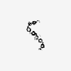 N#Cc1ccc(CN2CCC(NC(=O)c3cc4ccc(OC5CCN(Cc6cnn(-c7ccc(C#N)cc7)c6)CC5)cc4o3)CC2)cc1